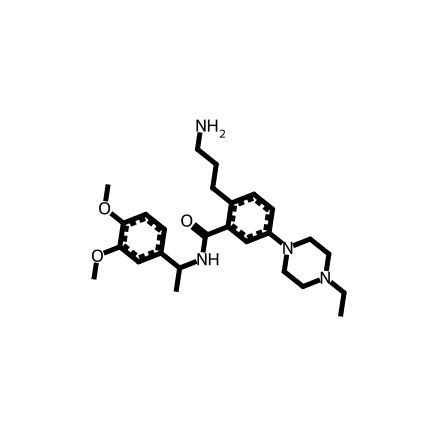 CCN1CCN(c2ccc(CCCN)c(C(=O)NC(C)c3ccc(OC)c(OC)c3)c2)CC1